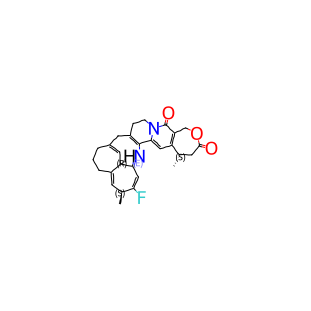 C[C@H]1C=C2CCCC3=C[C@H]2/C(=N\C2=C(CCn4c2cc2c(c4=O)COC(=O)C[C@@H]2C)C3)C=C1F